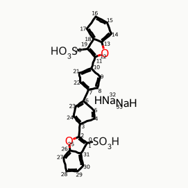 O=S(=O)(O)c1c(-c2ccc(-c3ccc(-c4oc5ccccc5c4S(=O)(=O)O)cc3)cc2)oc2ccccc12.[NaH].[NaH]